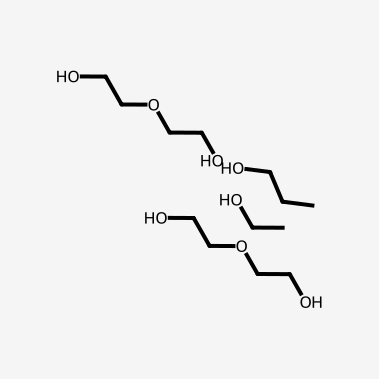 CCCO.CCO.OCCOCCO.OCCOCCO